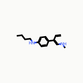 C=C/C(=C\NC)c1ccc(NCCCC)cc1